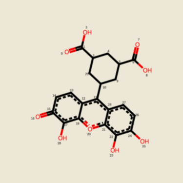 O=C(O)C1CC(C(=O)O)CC(c2c3ccc(=O)c(O)c-3oc3c(O)c(O)ccc23)C1